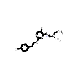 CCN(C)/C=N/c1nc(OCCc2ccc(Cl)cc2)ncc1F